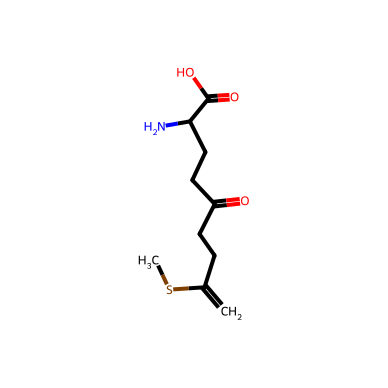 C=C(CCC(=O)CCC(N)C(=O)O)SC